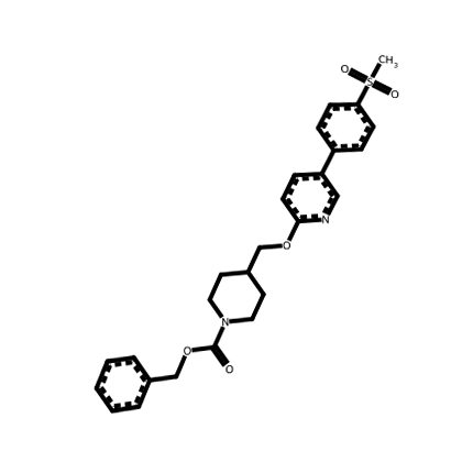 CS(=O)(=O)c1ccc(-c2ccc(OCC3CCN(C(=O)OCc4ccccc4)CC3)nc2)cc1